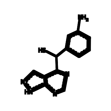 Nc1cccc(C(S)c2ncnc3[nH]ncc23)c1